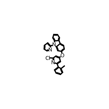 Cc1ccccc1-c1cc(Oc2ccc3c4ccccc4n(-c4ccccn4)c3c2)cc(Cl)n1